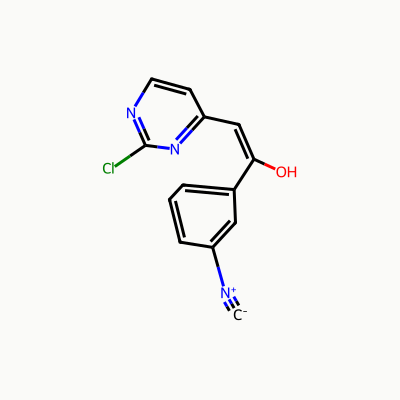 [C-]#[N+]c1cccc(/C(O)=C\c2ccnc(Cl)n2)c1